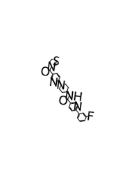 O=C(NC1CCN(c2ccc(C(=O)N3CCSC3)cn2)CC1)c1ccc(-c2cccc(F)c2)nc1